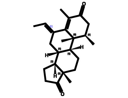 C/C=C1\C[C@@H]2[C@H](CC[C@]3(C)C(=O)CC[C@@H]23)[C@]2(C)C1=C(C)C(=O)C[C@H]2C